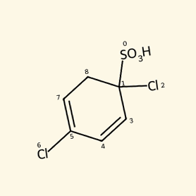 O=S(=O)(O)C1(Cl)C=CC(Cl)=CC1